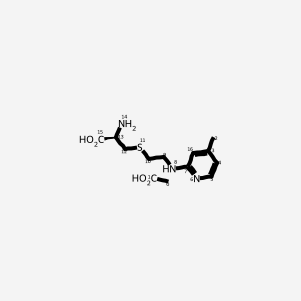 CC(=O)O.Cc1ccnc(NCCSC[C@H](N)C(=O)O)c1